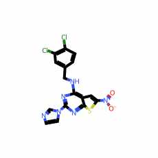 O=[N+]([O-])c1cc2c(NCc3ccc(Cl)c(Cl)c3)nc(-n3ccnc3)nc2s1